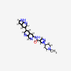 CN1CCC(n2cc(C(=O)Nc3cc4cc(-c5cnc6[nH]ccc6c5)cnc4cn3)cn2)CC1